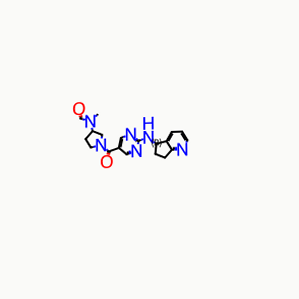 CN(C=O)C1CCN(C(=O)c2cnc(N[C@@H]3CCc4ncccc43)nc2)C1